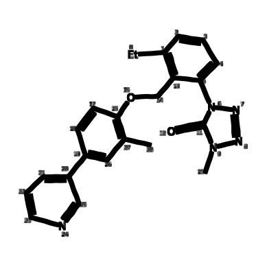 CCc1cccc(-n2nnn(C)c2=O)c1COc1ccc(-c2cccnc2)cc1C